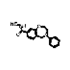 O=C(NO)c1ccc2c(c1)OCCN(c1ccccc1)C2